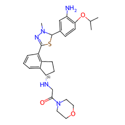 CC(C)Oc1ccc(C2SC(c3cccc4c3CC[C@@H]4NCC(=O)N3CCOCC3)=NN2C)cc1N